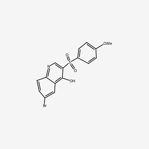 COc1ccc(S(=O)(=O)c2cnc3ccc(Br)cc3c2O)cc1